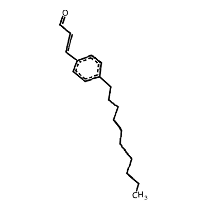 CCCCCCCCCCc1ccc(/C=C/C=O)cc1